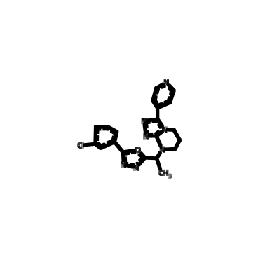 CC(c1nnc(-c2cccc(Cl)c2)o1)N1CCCn2c(-c3ccncc3)nnc21